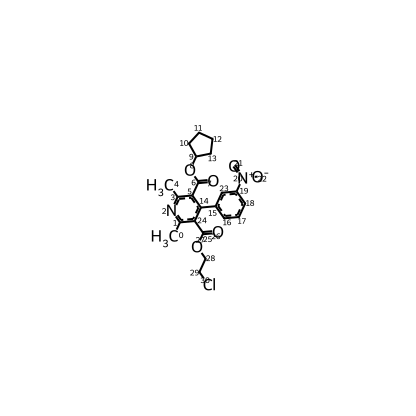 Cc1nc(C)c(C(=O)OC2CCCC2)c(-c2cccc([N+](=O)[O-])c2)c1C(=O)OCCCl